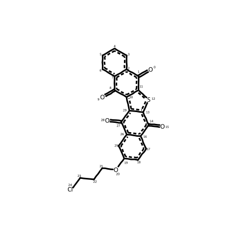 O=c1c2ccccc2c(=O)c2c1sc1c(=O)c3ccc(OCCCCl)cc3c(=O)c12